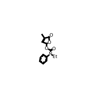 CCN(C(=O)OC1C=C(C)C(=O)O1)c1ccccc1